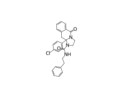 O=C(NCCc1ccccc1)N1CCN2C(=O)c3ccccc3CC12c1ccc(Cl)cc1